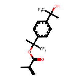 C=C(C)C(=O)OC(C)(c1ccc(C(C)(O)C(F)(F)F)cc1)C(F)(F)F